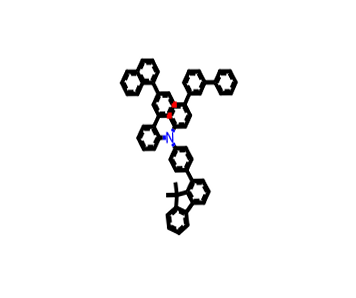 CC1(C)c2ccccc2-c2cccc(-c3ccc(N(c4ccc(-c5cccc(-c6ccccc6)c5)cc4)c4ccccc4-c4cccc(-c5cccc6ccccc56)c4)cc3)c21